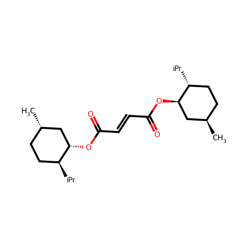 CC(C)[C@H]1CC[C@H](C)C[C@@H]1OC(=O)/C=C/C(=O)O[C@@H]1C[C@H](C)CC[C@H]1C(C)C